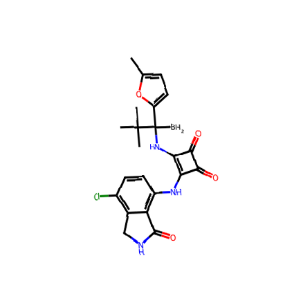 BC(Nc1c(Nc2ccc(Cl)c3c2C(=O)NC3)c(=O)c1=O)(c1ccc(C)o1)C(C)(C)C